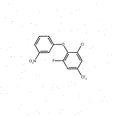 O=[N+]([O-])c1cccc(Oc2c(F)cc(C(F)(F)F)cc2Cl)c1